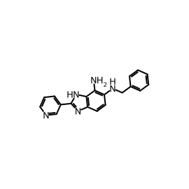 Nc1c(NCc2ccccc2)ccc2nc(-c3cccnc3)[nH]c12